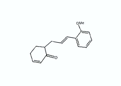 COc1ccccc1C=CCC1CCC=CC1=O